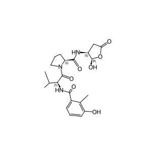 Cc1c(O)cccc1C(=O)N[C@H](C(=O)N1CCC[C@H]1C(=O)N[C@H]1CC(=O)O[C@H]1O)C(C)C